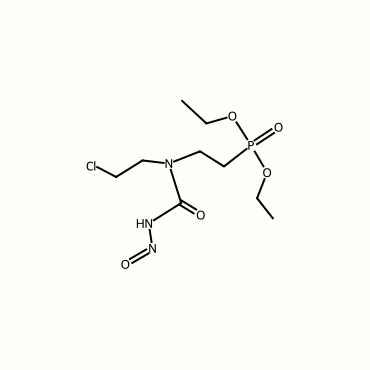 CCOP(=O)(CCN(CCCl)C(=O)NN=O)OCC